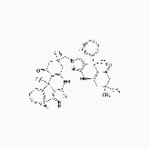 Cc1[nH]nc2c1C(c1cccnc1)(C(F)(F)F)C1=C(CC(C)(Cn3nc4c(c3C(F)(F)F)C(c3cccnc3)(C(F)(F)F)C3=C(CC(C)(C)CC3=O)N4)CC1=O)N2